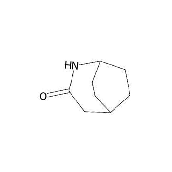 O=C1CC2CCC(CC2)N1